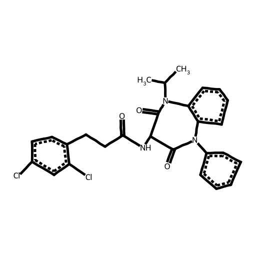 CC(C)N1C(=O)C(NC(=O)CCc2ccc(Cl)cc2Cl)C(=O)N(c2ccccc2)c2ccccc21